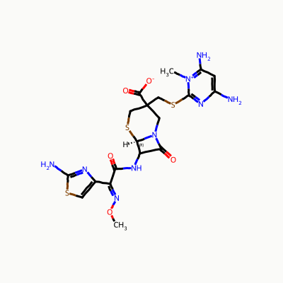 CON=C(C(=O)NC1C(=O)N2CC(CSc3nc(N)cc(N)[n+]3C)(C(=O)[O-])CS[C@H]12)c1csc(N)n1